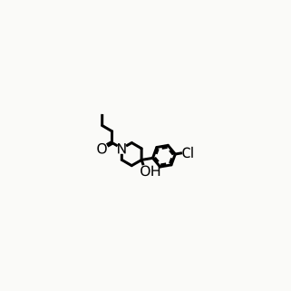 CCCC(=O)N1CCC(O)(c2ccc(Cl)cc2)CC1